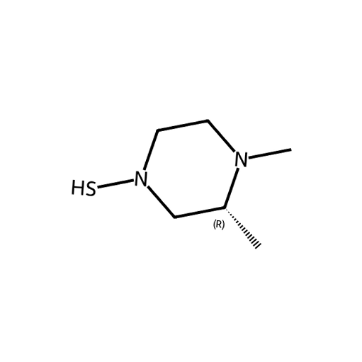 C[C@@H]1CN(S)CCN1C